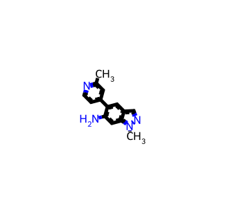 Cc1cc(-c2cc3cnn(C)c3cc2N)ccn1